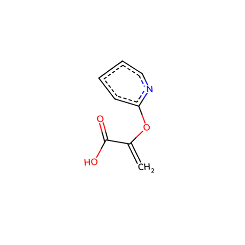 C=C(Oc1ccccn1)C(=O)O